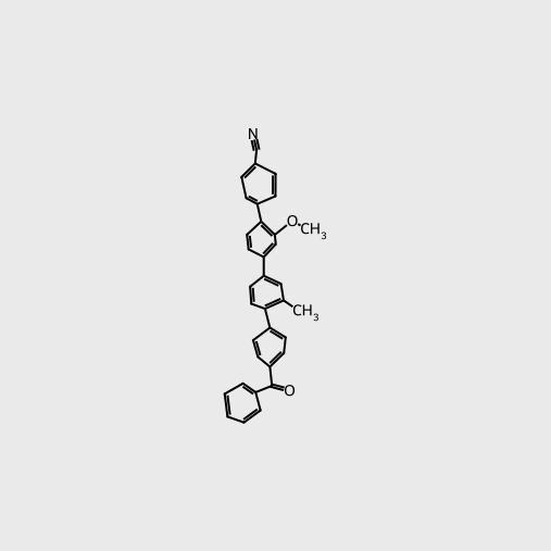 COc1cc(-c2ccc(-c3ccc(C(=O)c4ccccc4)cc3)c(C)c2)ccc1-c1ccc(C#N)cc1